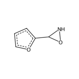 c1coc(C2NO2)c1